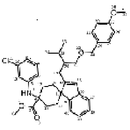 COC(=O)C1(Nc2cccc(Cl)c2)CCC2(CC1)C(CC(COCc1ccc(OC)cc1)C(C)C)=Cc1ccccc12